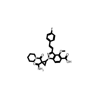 COc1c(C(=O)O)ccc2c1c(C=Cc1ccc(F)cc1)nn2C1CC1(C(N)=O)C(=O)N1CCCCC1